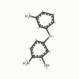 Nc1cccc(Oc2ccc(N)c(O)c2)c1